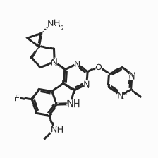 CNc1cc(F)cc2c1[nH]c1nc(Oc3cnc(C)nc3)nc(N3CC[C@]4(C[C@@H]4N)C3)c12